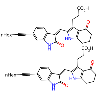 CCCCCCC#Cc1ccc2c(c1)NC(=O)/C2=C\c1[nH]c2c(c1CCC(=O)O)C(=O)CCC2.CCCCCCC#Cc1ccc2c(c1)NC(=O)/C2=C\c1[nH]c2c(c1CCC(=O)O)C(=O)CCC2